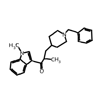 CC(CC1CCN(Cc2ccccc2)CC1)C(=O)c1cn(C)c2ccccc12